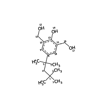 CC(C)(C)CC(C)(C)c1cc(CO)c(O)c(CO)c1